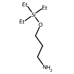 CC[Si](CC)(CC)OCCCN